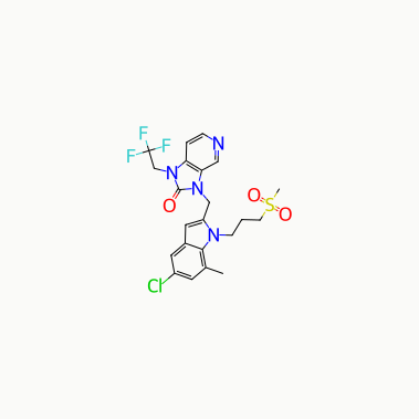 Cc1cc(Cl)cc2cc(Cn3c(=O)n(CC(F)(F)F)c4ccncc43)n(CCCS(C)(=O)=O)c12